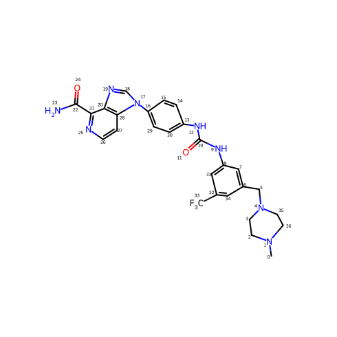 CN1CCN(Cc2cc(NC(=O)Nc3ccc(-n4cnc5c(C(N)=O)nccc54)cc3)cc(C(F)(F)F)c2)CC1